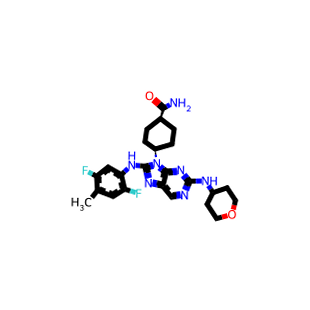 Cc1cc(F)c(Nc2nc3cnc(NC4CCOCC4)nc3n2[C@H]2CC[C@H](C(N)=O)CC2)cc1F